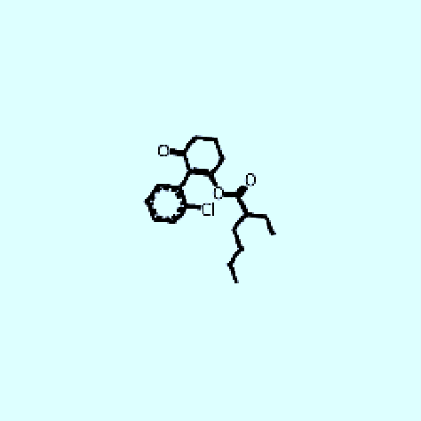 CCCCC(CC)C(=O)OC1=C(c2ccccc2Cl)C(=O)CCC1